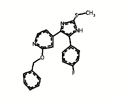 CSc1nc(-c2ccnc(OCc3ccccc3)c2)c(-c2ccc(F)cc2)[nH]1